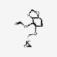 O=COc1c(OC[C@@H]2CO2)ccc2c1OCO2